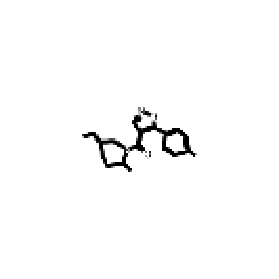 CCC1CCC(C)N(C(=O)c2cnoc2-c2ccc(C)cc2)C1